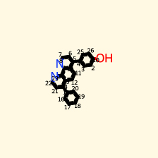 Oc1ccc(-c2ccnc3c2ccc2c(-c4ccccc4)ccnc23)cc1